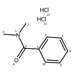 CN(C)C(=O)c1ccccc1.Cl.Cl